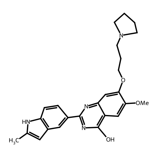 COc1cc2c(O)nc(-c3ccc4[nH]c(C)cc4c3)nc2cc1OCCCN1CCCC1